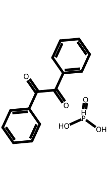 O=C(C(=O)c1ccccc1)c1ccccc1.O=[PH](O)O